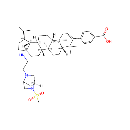 CC(C)[C@@H]1CC[C@]2(NCCN3C[C@@H]4CC3CN4S(C)(=O)=O)CC[C@]3(C)[C@H](CC[C@@H]4[C@@]5(C)CC=C(c6ccc(C(=O)O)cc6)C(C)(C)[C@@H]5CC[C@]43C)[C@@H]12